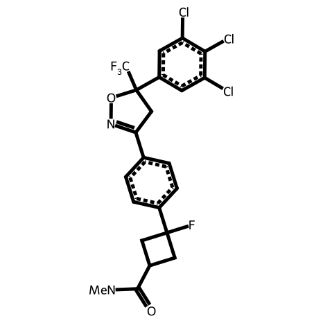 CNC(=O)C1CC(F)(c2ccc(C3=NOC(c4cc(Cl)c(Cl)c(Cl)c4)(C(F)(F)F)C3)cc2)C1